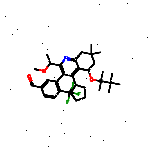 COC(C)c1nc2c(c(C3CCCC3)c1-c1cc(C=O)ccc1C(F)(F)F)C(O[Si](C)(C)C(C)(C)C)CC(C)(C)C2